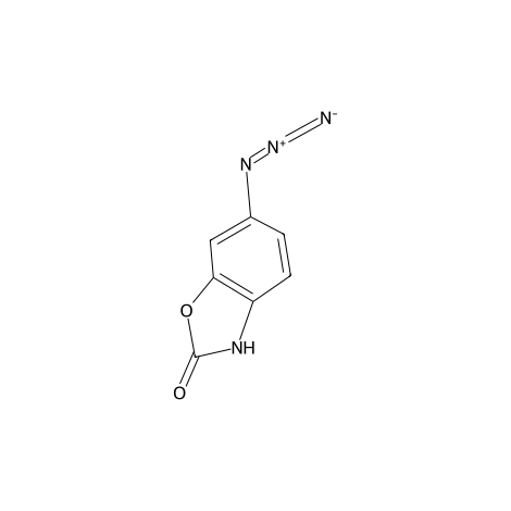 [N-]=[N+]=Nc1ccc2[nH]c(=O)oc2c1